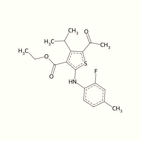 CCOC(=O)c1c(Nc2ccc(C)cc2F)sc(C(C)=O)c1C(C)C